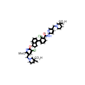 COc1nc(O[C@H]2CCc3c(-c4cccc(C(=O)Nc5ccc(CN6CCCC(C)(C(=O)O)C6)cn5)c4Cl)cccc32)c(Cl)cc1CN1CCCC(C)(C(=O)O)C1